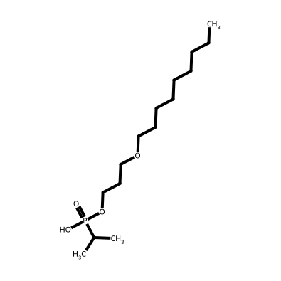 CCCCCCCCCOCCCOP(=O)(O)C(C)C